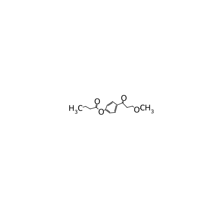 CCCC(=O)Oc1ccc(C(=O)CCOC)cc1